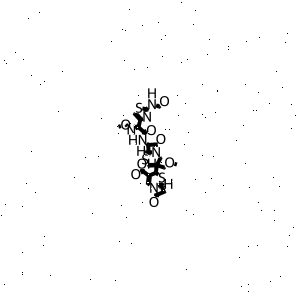 COCC1(C2S[C@@H]3CC(=O)N3C=C2C(=O)O)CS[C@@H]2C(NC(=O)C(=NOC)c3csc(NC=O)n3)C(=O)N2C1